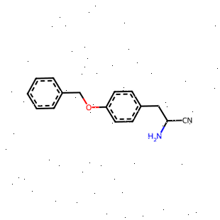 N#CC(N)Cc1ccc(OCc2ccccc2)cc1